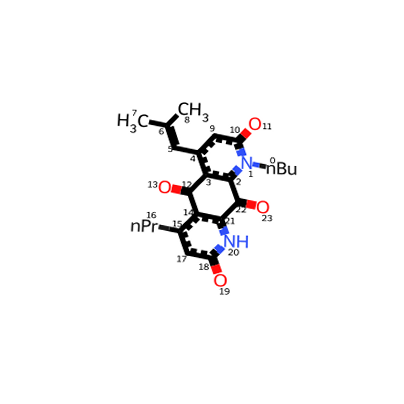 CCCCn1c2c(c(C=C(C)C)cc1=O)C(=O)c1c(CCC)cc(=O)[nH]c1C2=O